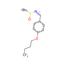 CC(C)(C)[S+]([O-])/N=C\c1ccc(OCCCC(F)(F)F)cc1